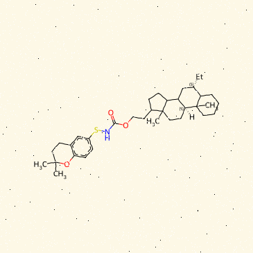 CC[C@H]1CC2C3CCC(CCOC(=O)NSc4ccc5c(c4)CCC(C)(C)O5)C3(C)CC[C@@H]2C2(C)CCCCC12